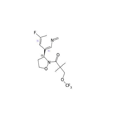 C=N/C=C(\C=C(/C)F)[C@@H]1CCON1C(=O)C(C)(C)COC(F)(F)F